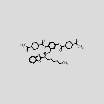 CCCCCCN(NCc1cc(OC(=O)C2CCC(C(C)=O)CC2)ccc1OC(=O)C1CCC(C(C)=O)CC1)c1nc2ccccc2s1